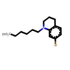 CCOC(=O)CCCCCN1CCCc2ccc(Br)cc21